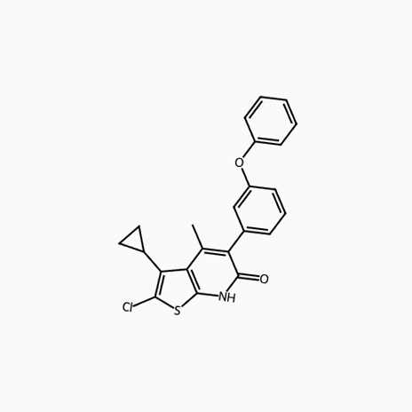 Cc1c(-c2cccc(Oc3ccccc3)c2)c(=O)[nH]c2sc(Cl)c(C3CC3)c12